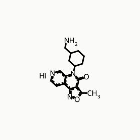 Cc1onc2c1c(=O)n(C1CCCC(CN)C1)c1cnccc21.I